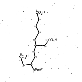 CCCCCC(CCC(CCCCC(=O)O)CC(=O)O)CC(=O)O